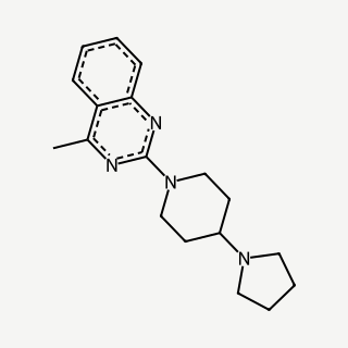 Cc1nc(N2CCC(N3CCCC3)CC2)nc2ccccc12